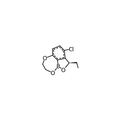 CC[C@H]1OB2OCCOc3ccc(Cl)c1c32